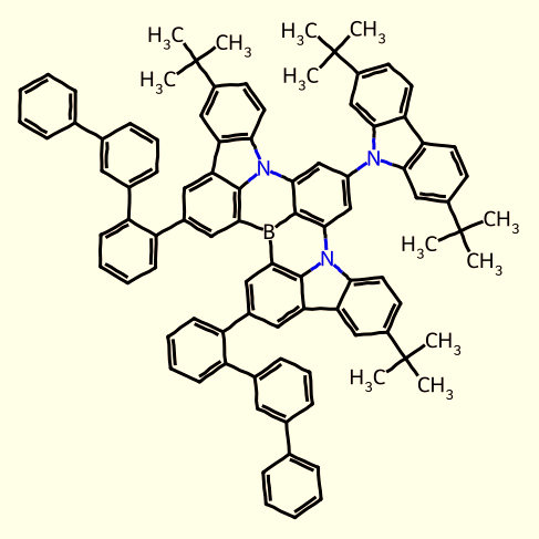 CC(C)(C)c1ccc2c(c1)c1cc(-c3ccccc3-c3cccc(-c4ccccc4)c3)cc3c1n2-c1cc(-n2c4cc(C(C)(C)C)ccc4c4ccc(C(C)(C)C)cc42)cc2c1B3c1cc(-c3ccccc3-c3cccc(-c4ccccc4)c3)cc3c4cc(C(C)(C)C)ccc4n-2c13